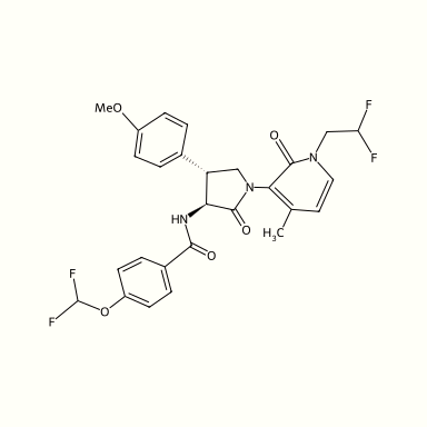 COc1ccc([C@@H]2CN(c3c(C)ccn(CC(F)F)c3=O)C(=O)[C@H]2NC(=O)c2ccc(OC(F)F)cc2)cc1